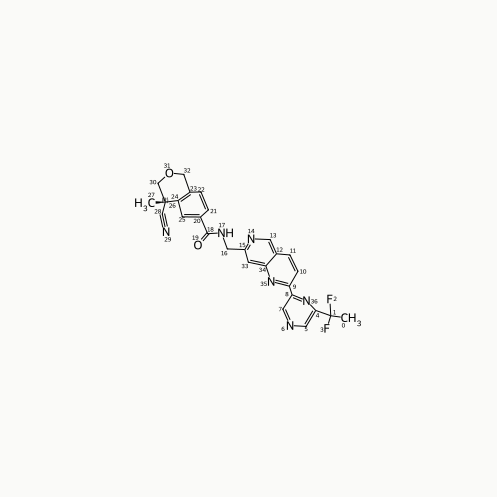 CC(F)(F)c1cncc(-c2ccc3cnc(CNC(=O)c4ccc5c(c4)[C@](C)(C#N)COC5)cc3n2)n1